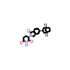 O=C1CC[C@@H](N2Cc3cc([C@H]4C[C@@H]5CC[C@@H](C5)C4)ccc3C2=O)C(=O)N1